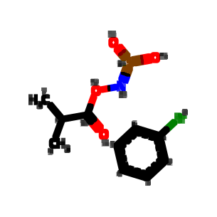 Brc1ccccc1.CC(C)C(=O)ON=S(=O)=O